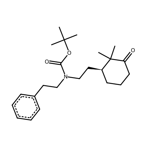 CC(C)(C)OC(=O)N(CCc1ccccc1)CC[C@@H]1CCCC(=O)C1(C)C